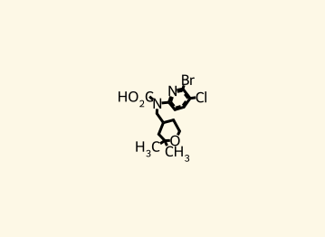 CC1(C)CC(CN(C(=O)O)c2ccc(Cl)c(Br)n2)CCO1